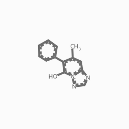 Cc1cc2ncnn2c(O)c1-c1ccccc1